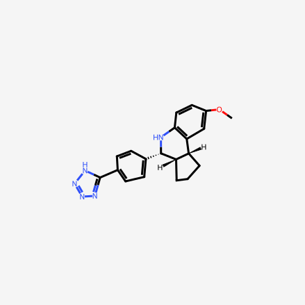 COc1ccc2c(c1)[C@@H]1CCC[C@@H]1[C@H](c1ccc(-c3nnn[nH]3)cc1)N2